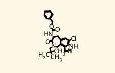 CC(C)(C)CN1Cc2c(cc(Cl)c3[nH]ncc23)C[C@@H](NC(=O)OCc2ccccc2)C1=O